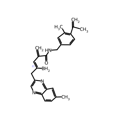 B/C(=C\C(=C)C(=O)NCc1ccc(C(=C)C)c(C)c1)Cc1cnc2ccc(C)cc2n1